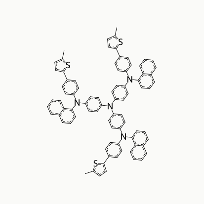 Cc1ccc(-c2ccc(N(c3ccc(N(c4ccc(N(c5ccc(-c6ccc(C)s6)cc5)c5cccc6ccccc56)cc4)c4ccc(N(c5ccc(-c6ccc(C)s6)cc5)c5cccc6ccccc56)cc4)cc3)c3cccc4ccccc34)cc2)s1